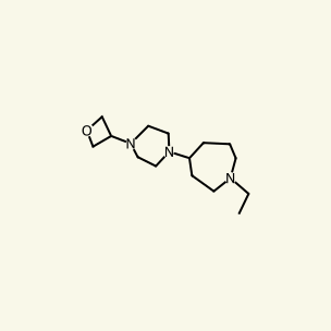 CCN1CCCC(N2CCN(C3COC3)CC2)CC1